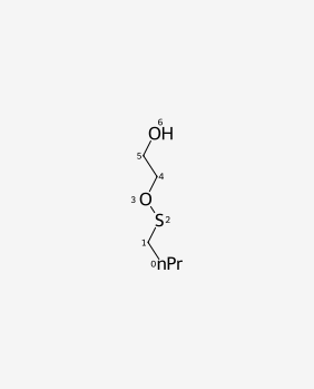 CCCCSOCCO